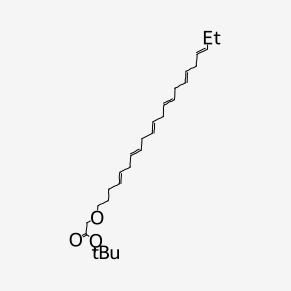 CCC=CCC=CCC=CCC=CCC=CCC=CCCCOCC(=O)OC(C)(C)C